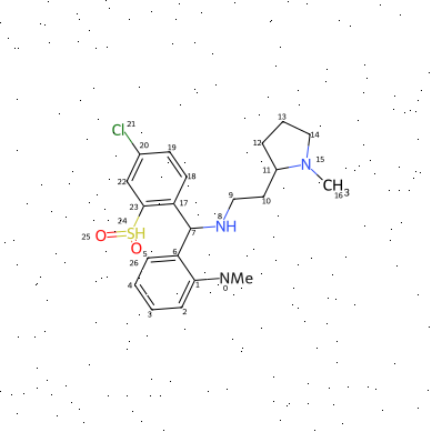 CNc1ccccc1C(NCCC1CCCN1C)c1ccc(Cl)cc1[SH](=O)=O